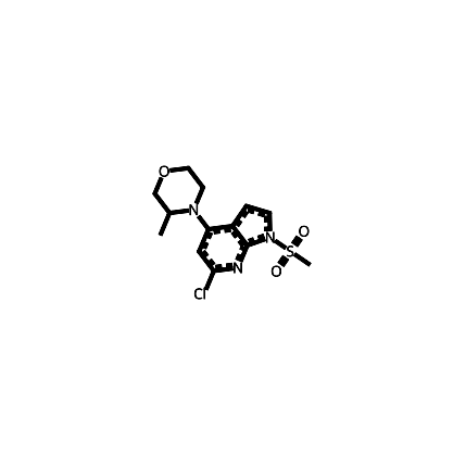 CC1COCCN1c1cc(Cl)nc2c1ccn2S(C)(=O)=O